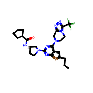 CCCc1cc2c(N3CCn4c(nnc4C(F)(F)F)C3)nc(N3CC[C@H](NC(=O)C4CCCC4)C3)nc2s1